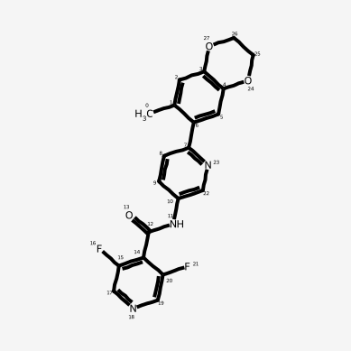 Cc1cc2c(cc1-c1ccc(NC(=O)c3c(F)cncc3F)cn1)OCCO2